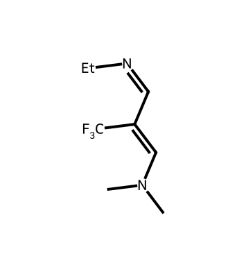 CC/N=C\C(=C\N(C)C)C(F)(F)F